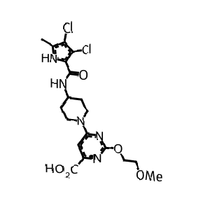 COCCOc1nc(C(=O)O)cc(N2CCC(NC(=O)c3[nH]c(C)c(Cl)c3Cl)CC2)n1